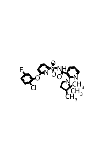 CC1CCN(c2ncccc2C(=O)NS(=O)(=O)c2cccc(Oc3cc(F)ccc3Cl)n2)C1(C)C